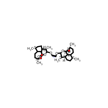 C[C@@H]1CC[C@H]2[C@@H](C)C(O/C=C\OC3O[C@@H]4O[C@]5(C)CCC6[C@H](C)CC[C@@H]([C@H]3C)[C@]64OO5)O[C@@H]3O[C@]4(C)CCC1[C@]32OO4